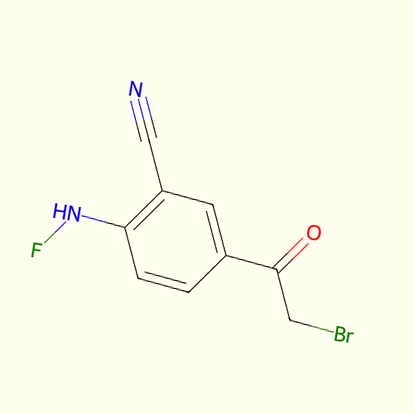 N#Cc1cc(C(=O)CBr)ccc1NF